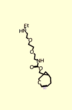 CCNCCOCCOCCNC(=O)OCC12CC/C=C\CCC1C2